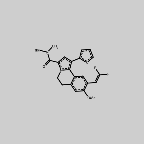 COc1cc2c(cc1C=C(F)F)-c1c(-c3cccs3)cc(C(=O)N(C)C(C)(C)C)n1CC2